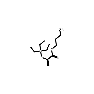 C=C(O[Si](CC)(CC)CC)C(=O)OCCC[SiH3]